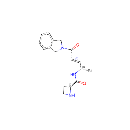 CC[C@@H](/C=C/C(=O)N1Cc2ccccc2C1)NC(=O)[C@@H]1CCN1